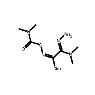 CN(C)C(=O)ON=C(C(=NN)N(C)C)C(C)(C)C